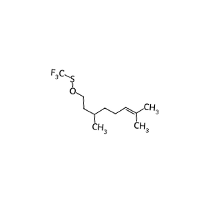 CC(C)=CCCC(C)CCOSC(F)(F)F